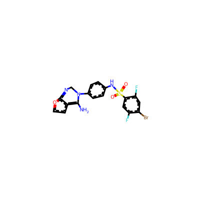 NC1=c2ccoc2=NCN1c1ccc(NS(=O)(=O)c2cc(F)c(Br)cc2F)cc1